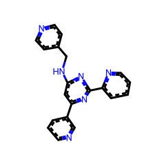 c1ccc(-c2nc(NCc3ccncc3)cc(-c3cccnc3)n2)nc1